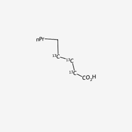 CCCC[13CH2][13CH2][13CH2][13C](=O)O